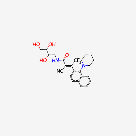 N#C/C(C(=O)NCC(O)C(O)CO)=C(\c1ccc2ccccc2c1N1CCCCC1)C(F)(F)F